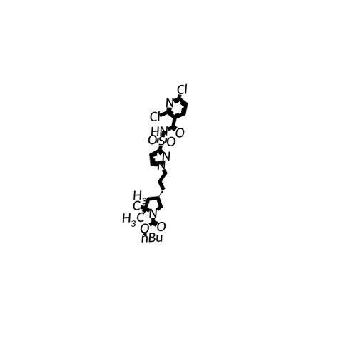 CCCCOC(=O)N1C[C@@H](CCCn2ccc(S(=O)(=O)NC(=O)c3ccc(Cl)nc3Cl)n2)CC1(C)C